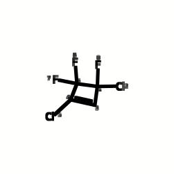 FC1(Cl)C=C(Cl)C1(F)F